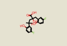 CC(C)(CC(O)(Cc1cc(F)ccc1O)C(=O)O)c1cc(F)ccc1O